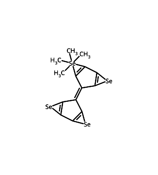 C[Se]1(C)(C)(C)C2=C1C(=C1C3=C([Se]3)C3=C1[Se]3)C1=C2[Se]1